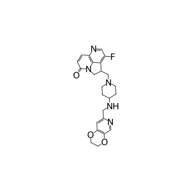 O=c1ccc2ncc(F)c3c2n1CC3CN1CCC(NCc2cc3c(cn2)OCCO3)CC1